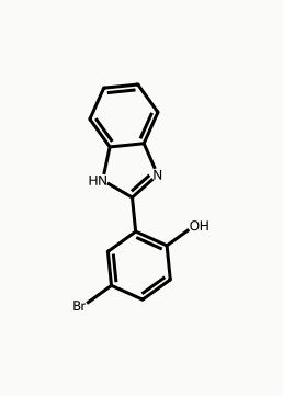 Oc1ccc(Br)cc1-c1nc2ccccc2[nH]1